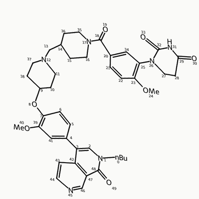 CCCCn1cc(-c2ccc(OC3CCN(CC4CCN(C(=O)c5ccc(OC)c(N6CCC(=O)NC6=O)c5)CC4)CC3)c(OC)c2)c2ccncc2c1=O